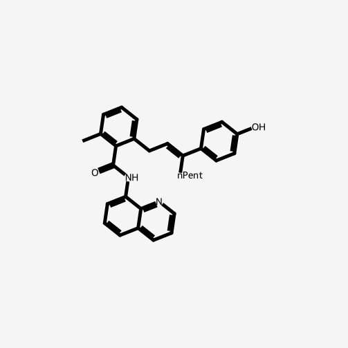 CCCCCC(=CCc1cccc(C)c1C(=O)Nc1cccc2cccnc12)c1ccc(O)cc1